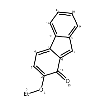 CCOC1=CC=C2C(=Cc3ccccc32)C1=O